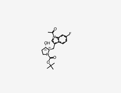 CC(=O)n1cc(C[C@@H]2[C@@H](O)CCN2C(=O)OC(C)(C)C)c2ccc(F)cc21